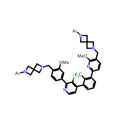 COc1cc(-c2nccc(-c3cccc(-c4ccc(CN5CC6(C5)CN(C(C)=O)C6)c(OC)n4)c3C(F)(F)F)c2Cl)ccc1CN1CC2(C1)CN(C(C)=O)C2